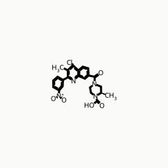 Cc1c(-c2cccc([N+](=O)[O-])c2)nc2cc(C(=O)N3CCN(C(=O)O)[C@H](C)C3)ccc2c1Cl